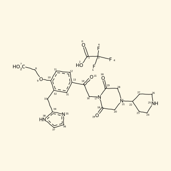 O=C(O)C(F)(F)F.O=C(O)COc1ccc(C(=O)CN2C(=O)CN(C3CCNCC3)CC2=O)cc1Cc1ncc[nH]1